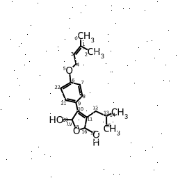 CC(C)=CCOc1ccc(C2=C(CC(C)C)C(O)OC2O)cc1